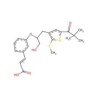 CSc1sc(C(=O)C(C)(C)C)cc1CC(CO)Oc1cccc(/C=C/C(=O)O)c1